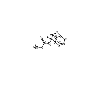 CC1(OC(=O)CO)C2CC3CC(C2)CC1C3